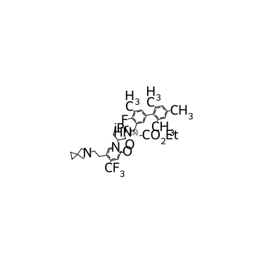 CCOC(=O)C[C@H](NC(=O)C(CC(C)C)n1cc(CCN2CC3(CC3)C2)c(C(F)(F)F)cc1=O)c1cc(-c2c(C)cc(C)cc2C)cc(C)c1F